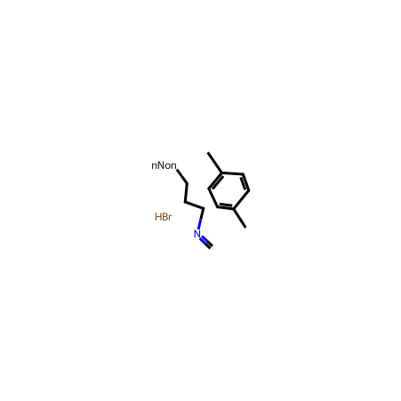 Br.C=NCCCCCCCCCCCC.Cc1ccc(C)cc1